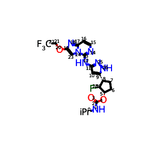 CC(C)NC(=O)O[C@H]1CC[C@@H](c2cc(Nc3nccc4nc(OCC(F)(F)F)cn34)n[nH]2)[C@@H]1F